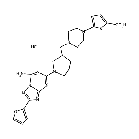 Cl.Nc1nc(N2CCCC(CN3CCN(c4ccc(C(=O)O)s4)CC3)C2)nc2nc(-c3ccco3)nn12